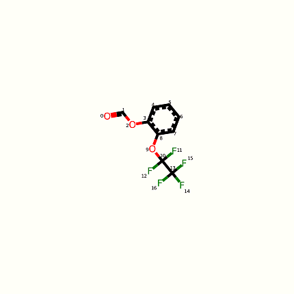 O=COc1ccccc1OC(F)(F)C(F)(F)F